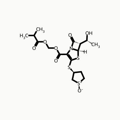 CC(C)C(=O)OCOC(=O)C1=C(S[C@H]2CC[S@@+]([O-])C2)S[C@@H]2[C@@H]([C@@H](C)O)C(=O)N12